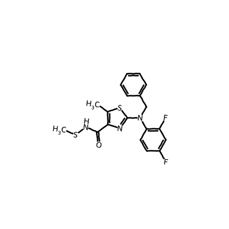 CSNC(=O)c1nc(N(Cc2ccccc2)c2ccc(F)cc2F)sc1C